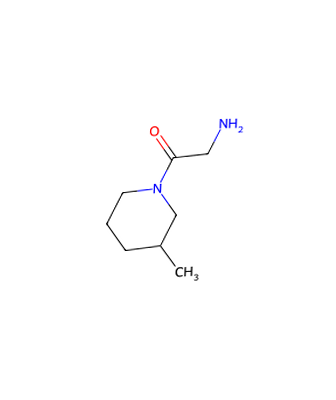 CC1CCCN(C(=O)CN)C1